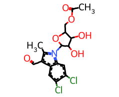 CC(=O)OCC1OC(n2c(C)c(C=O)c3cc(Cl)c(Cl)cc32)C(O)C1O